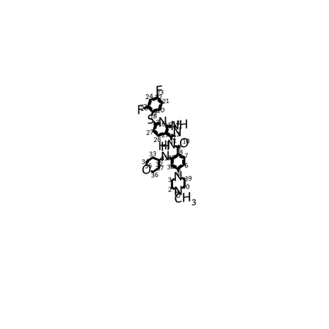 CN1CCN(c2ccc(C(=O)Nc3n[nH]c4nc(Sc5ccc(F)cc5F)ccc34)c(NC3CCOCC3)c2)CC1